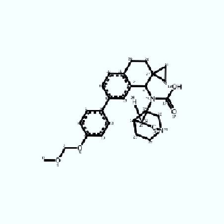 COCOc1ccc(-c2ccc3c(c2)C(N(C(=O)O)[C@@H]2CN4CCC2CC4)C2(CC3)CC2)cc1